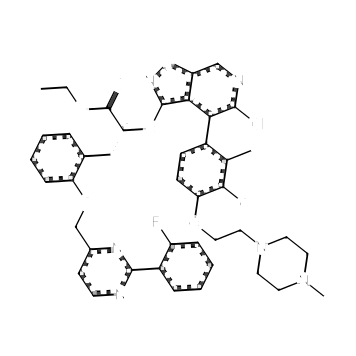 CCOC(=O)[C@@H](Cc1ccccc1OCc1ccnc(-c2ccccc2F)n1)Oc1nsc2cnc(Cl)c(-c3ccc(OCCN4CCN(C)CC4)c(Cl)c3C)c12